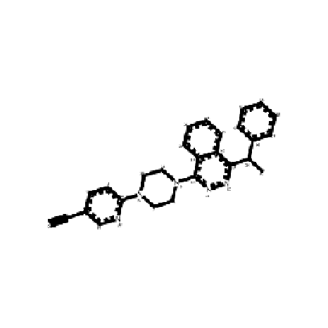 C#Cc1ccc(N2CCN(c3nnc(C(C)c4ccccc4)c4ccccc34)CC2)nc1